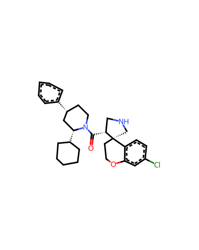 O=C([C@@H]1CNC[C@]12CCOc1cc(Cl)ccc12)N1CC[C@@H](c2ccccc2)C[C@H]1C1CCCCC1